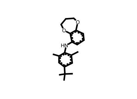 Cc1cc(C(C)(C)C)cc(C)c1Nc1cccc2c1OCCCO2